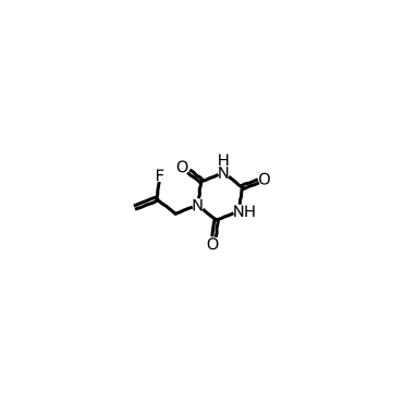 C=C(F)Cn1c(=O)[nH]c(=O)[nH]c1=O